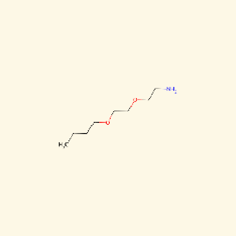 CCCCOCCOCCN